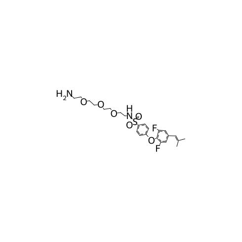 CC(C)=Cc1cc(F)c(Oc2ccc(S(=O)(=O)NCCOCCOCCOCCN)cc2)c(F)c1